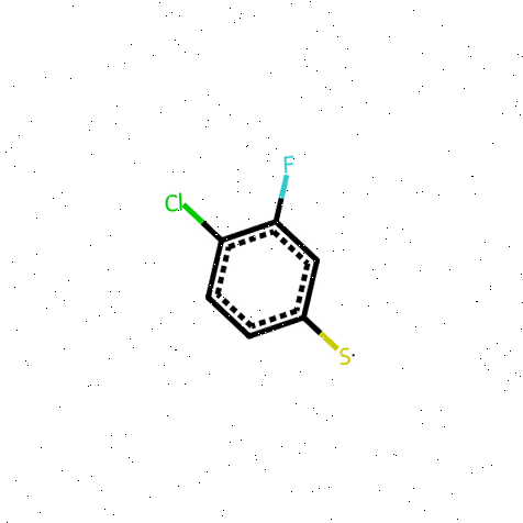 Fc1cc([S])ccc1Cl